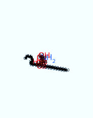 CC/C=C\C/C=C\C/C=C\C/C=C\CCCCC(=O)O[C@H](COCCCCCCCCCCCCCCCCCC)COP(=O)(O)OC[C@H](N)C(=O)O